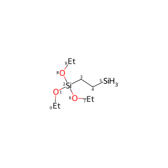 CCO[Si](CC[SiH3])(OCC)OCC